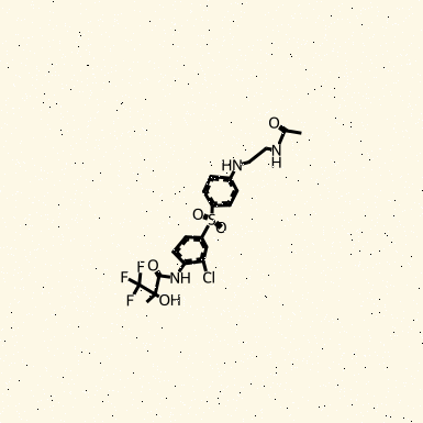 CC(=O)NCCNc1ccc(S(=O)(=O)c2ccc(NC(=O)C(C)(O)C(F)(F)F)c(Cl)c2)cc1